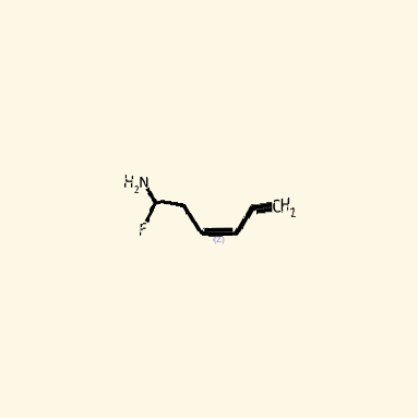 C=C/C=C\CC(N)F